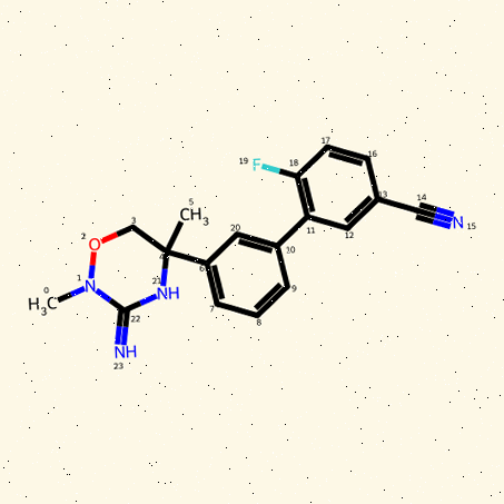 CN1OCC(C)(c2cccc(-c3cc(C#N)ccc3F)c2)NC1=N